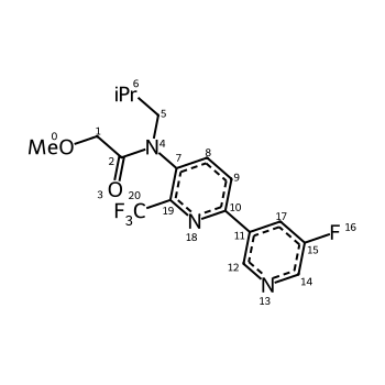 COCC(=O)N(CC(C)C)c1ccc(-c2cncc(F)c2)nc1C(F)(F)F